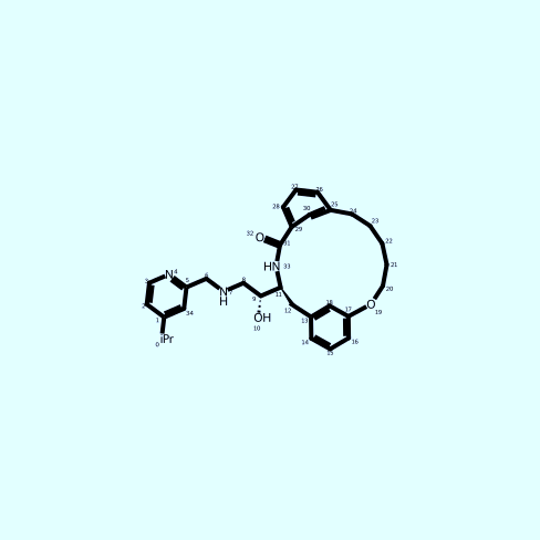 CC(C)c1ccnc(CNC[C@@H](O)[C@@H]2Cc3cccc(c3)OCCCCCc3cccc(c3)C(=O)N2)c1